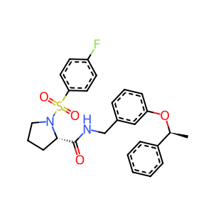 C[C@H](Oc1cccc(CNC(=O)[C@@H]2CCCN2S(=O)(=O)c2ccc(F)cc2)c1)c1ccccc1